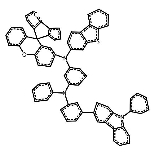 c1ccc(N(c2cccc(-c3ccc4c(c3)c3ccccc3n4-c3ccccc3)c2)c2cccc(N(c3ccc4c(c3)C3(c5ccccc5O4)c4ccccc4-c4ccccc43)c3ccc4c(c3)sc3ccccc34)c2)cc1